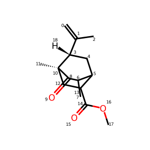 C=C(C)[C@@H]1CC2C(C)C(=O)[C@@]1(C)CC2C(=O)OC